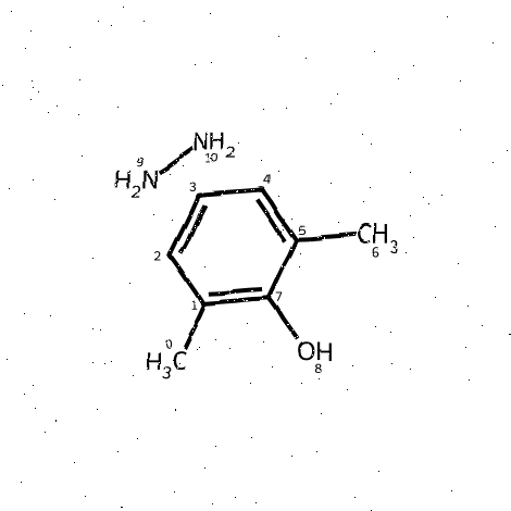 Cc1cccc(C)c1O.NN